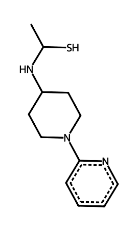 CC(S)NC1CCN(c2ccccn2)CC1